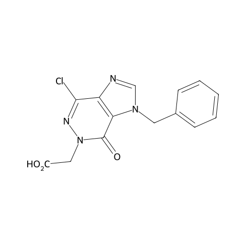 O=C(O)Cn1nc(Cl)c2ncn(Cc3ccccc3)c2c1=O